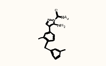 Cc1cccc(Cc2ccc(-c3cnn(C(N)=O)c3N)cc2C)c1